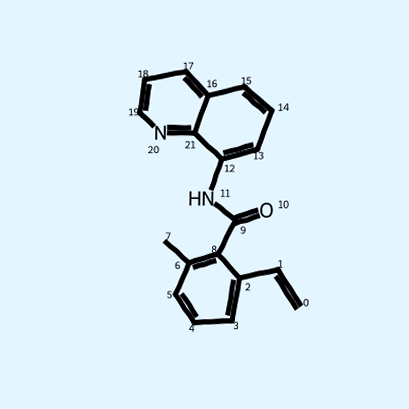 C=Cc1cccc(C)c1C(=O)Nc1cccc2cccnc12